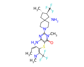 C=N/C(=C(\C=C/C)Sc1c(N)nc(N2CCC3(CC2)C[C@H](C)[C@@H](C(F)(F)F)[C@@H]3N)n(C)c1=O)C(F)(F)F